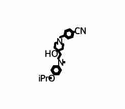 CC(C)Oc1ccc(N(C)CCC2(O)CCN(Cc3ccc(C#N)cc3)CC2)cc1